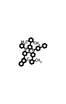 Cc1cccc(C)c1-c1ccc2c(c1)B1c3cc(-c4ccc5ccccc5c4)ccc3N(c3ccccc3)c3cc(-c4c(C)cccc4C)cc(c31)N2c1ccc(-c2ccccc2)cc1